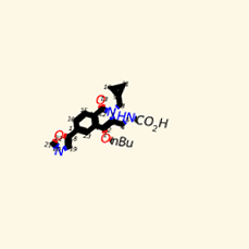 CCCCOc1c(CNC(=O)O)n(CC2CC2)c(=O)c2ccc(-c3cnco3)cc12